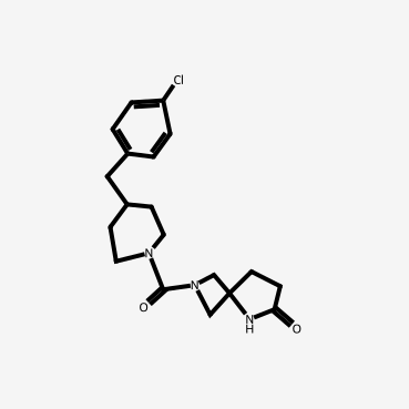 O=C1CCC2(CN(C(=O)N3CCC(Cc4ccc(Cl)cc4)CC3)C2)N1